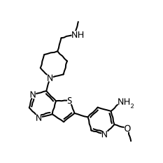 CNCC1CCN(c2ncnc3cc(-c4cnc(OC)c(N)c4)sc23)CC1